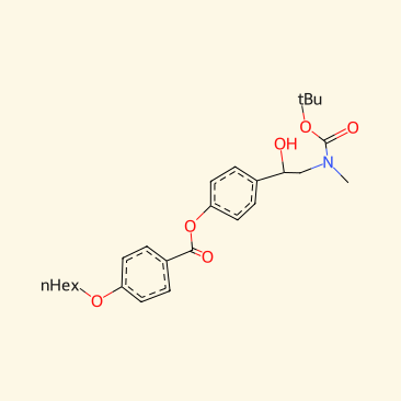 CCCCCCOc1ccc(C(=O)Oc2ccc(C(O)CN(C)C(=O)OC(C)(C)C)cc2)cc1